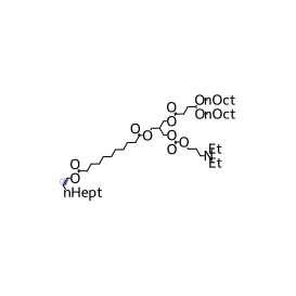 CCCCCCC/C=C\OC(=O)CCCCCCCCCC(=O)OCC(COC(=O)CCC(OCCCCCCCC)OCCCCCCCC)COC(=O)OCCCN(CC)CC